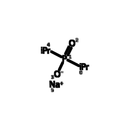 CC(C)P(=O)([O-])C(C)C.[Na+]